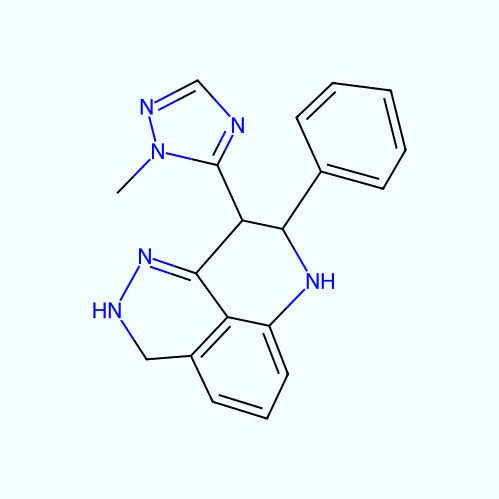 Cn1ncnc1C1C2=NNCc3cccc(c32)NC1c1ccccc1